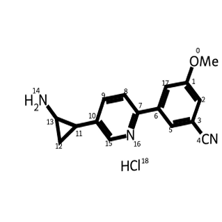 COc1cc(C#N)cc(-c2ccc(C3CC3N)cn2)c1.Cl